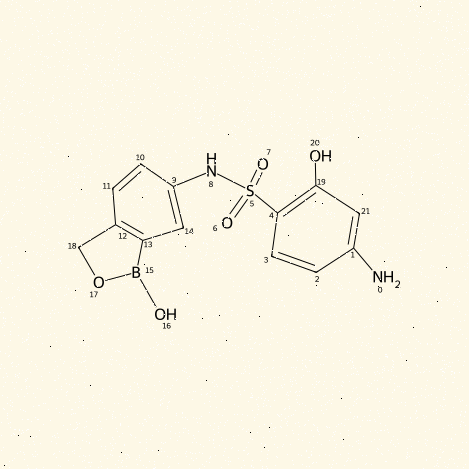 Nc1ccc(S(=O)(=O)Nc2ccc3c(c2)B(O)OC3)c(O)c1